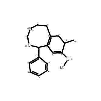 CCOC1=CC2=C(CCNCOC2c2ccccc2)CC1C